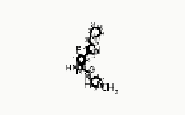 CN1CCC(NC(=O)c2n[nH]c3cc(F)c(-c4cncc(CN5CCCCC5)c4)cc23)CC1